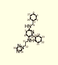 c1ccc(CNc2ccc(NCCn3cncn3)c(-c3ccccc3)n2)cc1